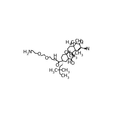 CCC(C)(C)CC[C@]1(C(=O)NCCOCCOCCN)CC[C@]2(C)[C@@H](C1)C(=O)C=C1[C@@]3(C)C=C(C#N)C(=O)C(C)(C)[C@@H]3CC[C@]12C